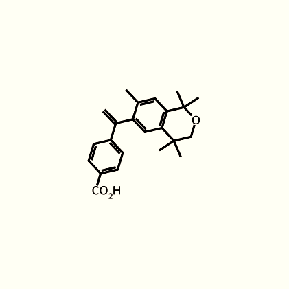 C=C(c1ccc(C(=O)O)cc1)c1cc2c(cc1C)C(C)(C)OCC2(C)C